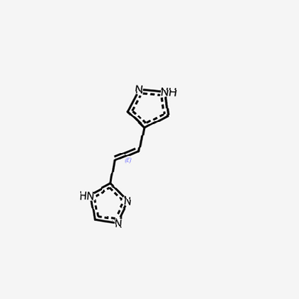 C(=C\c1nnc[nH]1)/c1cn[nH]c1